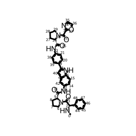 CN[C@@H](C(=O)N1CCC[C@H]1C(=O)Nc1ccc2[nH]c(-c3ccc(NC(=O)[C@@H]4CCCN4C(=O)c4ncco4)cc3)cc2c1)c1ccccc1